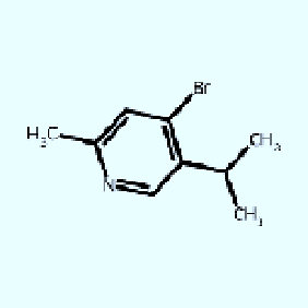 Cc1cc(Br)c(C(C)C)cn1